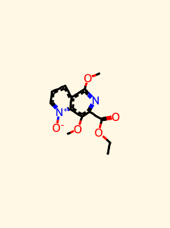 CCOC(=O)c1nc(OC)c2ccc[n+]([O-])c2c1OC